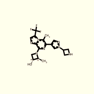 Cc1c(-c2cnn(C3CNC3)c2)nc(N2C[C@@H](O)[C@@H]2C)c2ncc(C(F)(F)F)n12